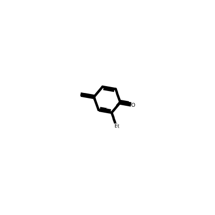 C=C1C=CC(=O)C(CC)=C1